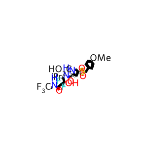 COc1ccc(CS(=O)(=O)[C@@H]2C[C@@H](C(=O)NC(C(C)C)C(O)C(F)(F)C(=O)NCC(F)(F)F)N(C(=O)O)C2)cc1